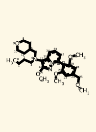 CCCCN(CC1CCOCC1)c1c(OC)nn2c(-c3c(OC)cc(COC)cc3OC)cccc12